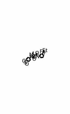 CCC(F)(F)c1cccc(NC(=O)C2C(=O)N(c3ccc(S(C)(=O)=O)cc3)N=C2C)c1